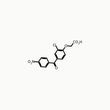 O=C(O)COc1ccc(C(=O)c2ccc([N+](=O)[O-])cc2)cc1Cl